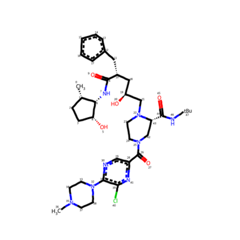 C[C@H]1CC[C@@H](O)[C@H]1NC(=O)[C@H](Cc1ccccc1)C[C@H](O)CN1CCN(C(=O)c2cnc(N3CCN(C)CC3)c(Cl)n2)C[C@H]1C(=O)NC(C)(C)C